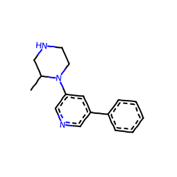 CC1CNCCN1c1cncc(-c2ccccc2)c1